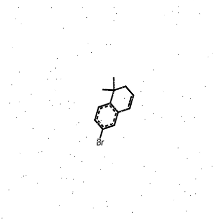 CC1(C)CC=Cc2cc(Br)ccc21